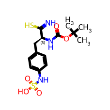 CC(C)(C)OC(=O)N[C@@H](Cc1ccc(NS(=O)(=O)O)cc1)C(=N)S